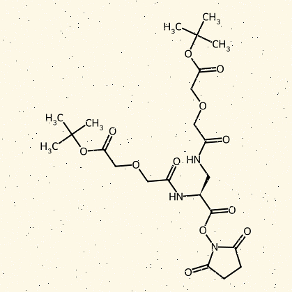 CC(C)(C)OC(=O)COCC(=O)NC[C@H](NC(=O)COCC(=O)OC(C)(C)C)C(=O)ON1C(=O)CCC1=O